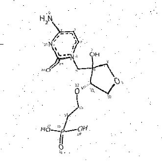 Nc1ccn(CC2(O)COC[C@@H]2OCCP(=O)(O)O)c(=O)n1